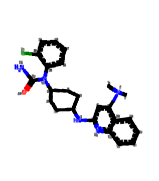 CN(C)c1cc(NC2CCC(N(C(N)=O)c3ccccc3Br)CC2)nc2ccccc12